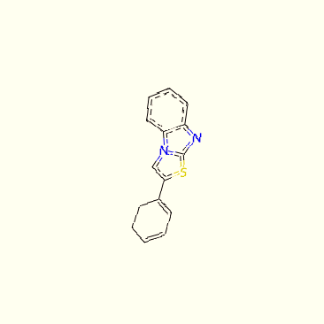 C1=CCCC(c2cn3c(nc4ccccc43)s2)=C1